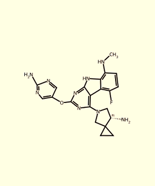 CNc1ccc(F)c2c1[nH]c1nc(Oc3cnc(N)nc3)nc(N3C[C@H](N)C4(CC4)C3)c12